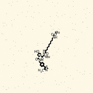 Cc1ncsc1-c1ccc(CNC(=O)[C@@H]2C[C@@H](O)CN2C(=O)[C@@H](NC(=O)CCCCCCCCCNC(=O)OC(C)(C)C)C(C)(C)C)cc1